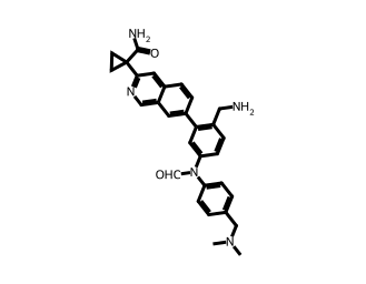 CN(C)Cc1ccc(N(C=O)c2ccc(CN)c(-c3ccc4cc(C5(C(N)=O)CC5)ncc4c3)c2)cc1